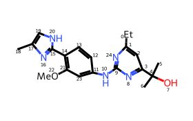 CCc1cc(C(C)(C)O)nc(Nc2ccc(-c3nc(C)c[nH]3)c(OC)c2)n1